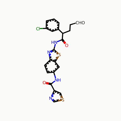 O=CCCC(C(=O)Nc1nc2ccc(NC(=O)c3cscn3)cc2s1)c1cccc(Cl)c1